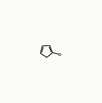 [O]C1=CC=CC1